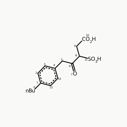 CCCCc1ccc(CC(=O)C(CC(=O)O)S(=O)(=O)O)cc1